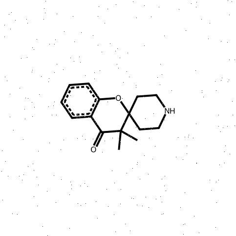 CC1(C)C(=O)c2ccccc2OC12CCNCC2